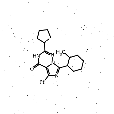 CCc1nc(C2CCCCC2C)n2nc(C3CCCC3)[nH]c(=O)c12